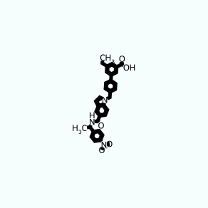 CCc1cc(C(=O)O)cc(-c2ccc(Cn3ccc4cc(C(=O)NC(C)c5ccc([N+](=O)[O-])cc5)ccc43)cc2)c1